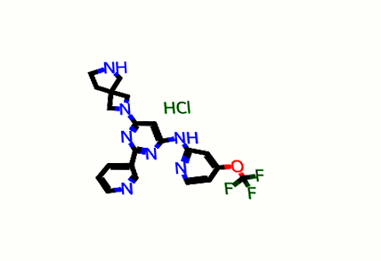 Cl.FC(F)(F)Oc1ccnc(Nc2cc(N3CC4(CCNC4)C3)nc(-c3cccnc3)n2)c1